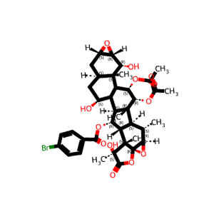 CC(=O)O[C@H]1C2C([C@@H]3[C@@H](OC(=O)c4ccc(Br)cc4)[C@@H]4[C@H]([C@H](C)[C@H]5O[C@]56OC(=O)[C@@](C)(O)[C@]46C)[C@@]3(C)[C@H]1OC(C)=O)[C@@H](O)C[C@H]1C[C@@H]3O[C@@H]3[C@H](O)[C@]21C